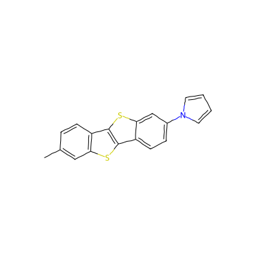 Cc1ccc2c(c1)sc1c3ccc(-n4cccc4)cc3sc21